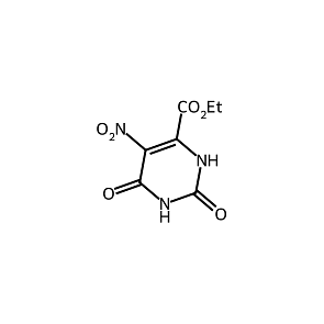 CCOC(=O)c1[nH]c(=O)[nH]c(=O)c1[N+](=O)[O-]